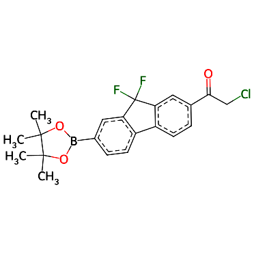 CC1(C)OB(c2ccc3c(c2)C(F)(F)c2cc(C(=O)CCl)ccc2-3)OC1(C)C